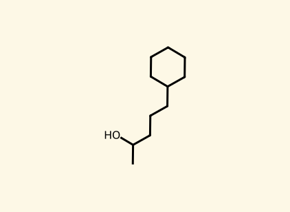 CC(O)CCCC1CCCCC1